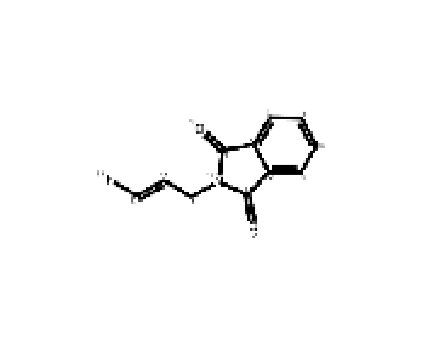 O=C1c2ccccc2C(=O)N1C/C=C/F